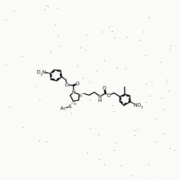 CC(=O)S[C@H]1C[C@@H](CCCNC(=O)OCc2ccc([N+](=O)[O-])cc2C)N(C(=O)OCc2ccc([N+](=O)[O-])cc2)C1